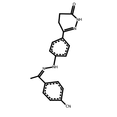 CC(=NNc1ccc(C2=NNC(=O)CC2)cc1)c1ccc(C#N)cc1